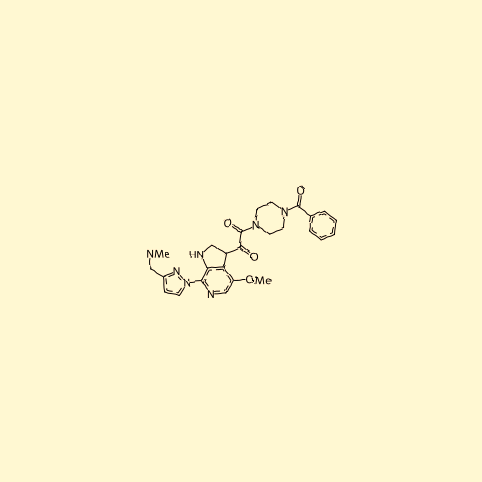 CNCc1ccn(-c2ncc(OC)c3c2NCC3C(=O)C(=O)N2CCN(C(=O)c3ccccc3)CC2)n1